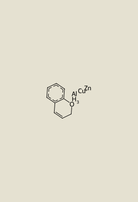 C1=Cc2ccccc2OC1.[AlH3].[Cu].[Zn]